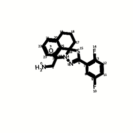 NCC(=O)N1N=C(c2cc(F)ccc2F)SC12CCCc1ccccc12